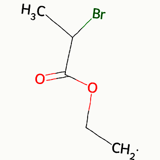 [CH2]COC(=O)C(C)Br